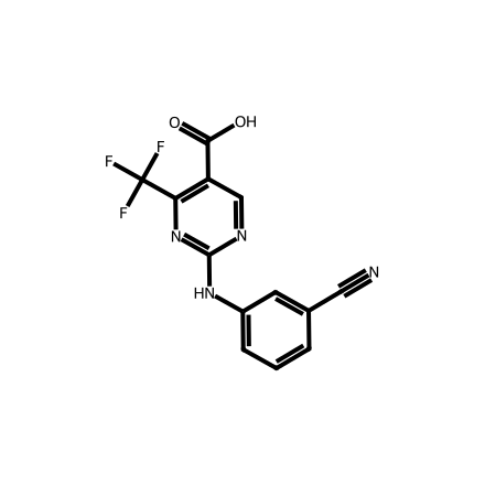 N#Cc1cccc(Nc2ncc(C(=O)O)c(C(F)(F)F)n2)c1